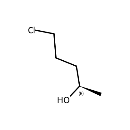 C[C@@H](O)CCCCl